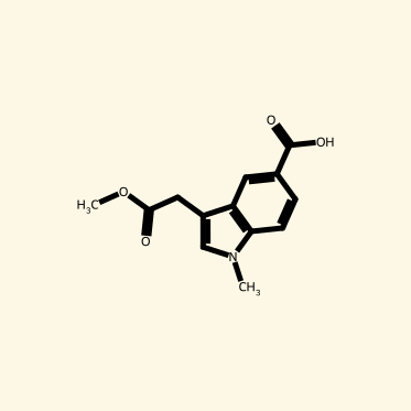 COC(=O)Cc1cn(C)c2ccc(C(=O)O)cc12